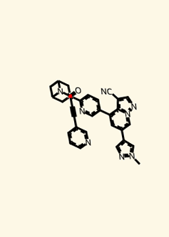 Cn1cc(-c2cc(-c3ccc(N4CC5CC(C4)N5C(=O)C#Cc4cccnc4)nc3)c3c(C#N)cnn3c2)cn1